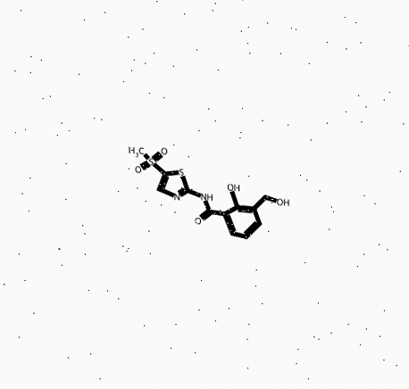 CS(=O)(=O)c1cnc(NC(=O)c2cccc(CO)c2O)s1